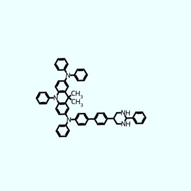 CC1(C)c2cc(N(c3ccccc3)c3ccccc3)ccc2N(c2ccccc2)c2ccc(N(c3ccccc3)c3ccc(-c4ccc(C5CNC(c6ccccc6)NC5)cc4)cc3)cc21